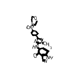 Cn1nc(-c2ccc([S+]([O-])N3CCOCC3)cc2)nc1Nc1ccc2[nH]ncc2c1Cl